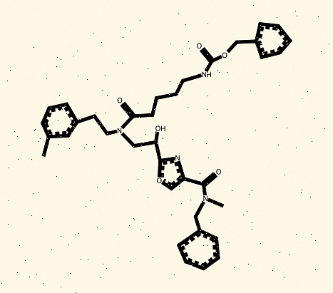 Cc1cccc(CCN(CC(O)c2nc(C(=O)N(C)Cc3ccccc3)co2)C(=O)CCCCNC(=O)OCc2ccccc2)c1